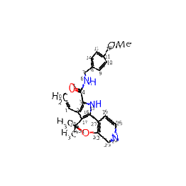 C=Cc1c(C(=O)NCc2ccc(OC)cc2)[nH]c2c1C(C)(C)Oc1cnccc1-2